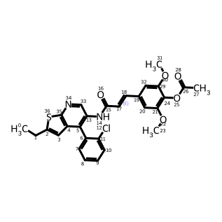 CCc1cc2c(-c3ccccc3Cl)c(NC(=O)/C=C/c3cc(OC)c(OC(C)=O)c(OC)c3)cnc2s1